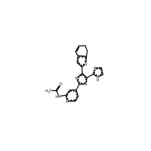 CC(=O)Nc1cc(-c2nc(-c3cc4c(s3)CCC=C4)c(-c3ncc[nH]3)s2)ccn1